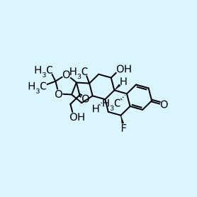 CC1(C)OC2CC3[C@@H]4C[C@H](F)C5=CC(=O)C=C[C@]5(C)[C@H]4C(O)CC3(C)C2(C(=O)CO)O1